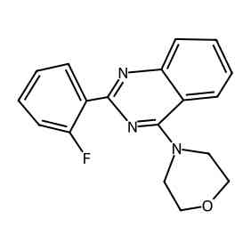 Fc1ccccc1-c1nc(N2CCOCC2)c2ccccc2n1